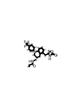 C=CC(=O)NC[C@H]1Cc2c(Cc3noc(=O)[nH]3)cccc2N(c2ccc(C(F)(F)F)cc2)C1